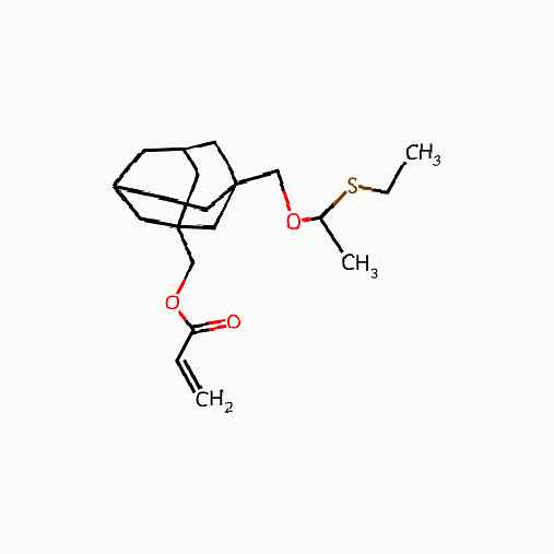 C=CC(=O)OCC12CC3CC(C1)CC(COC(C)SCC)(C3)C2